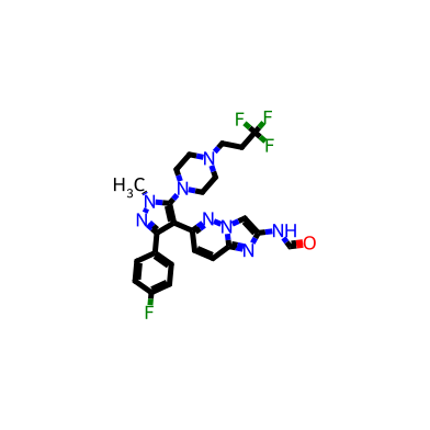 Cn1nc(-c2ccc(F)cc2)c(-c2ccc3nc(NC=O)cn3n2)c1N1CCN(CCC(F)(F)F)CC1